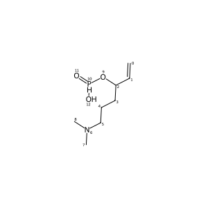 C=CC(CCCN(C)C)O[PH](=O)O